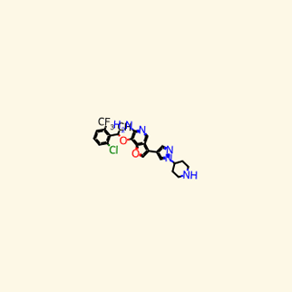 CC(Oc1c(N)ncc2c(-c3cnn(C4CCNCC4)c3)coc12)c1c(Cl)cccc1C(F)(F)F